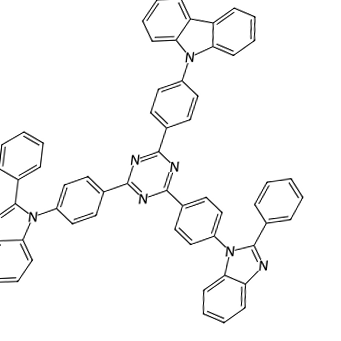 c1ccc(-c2nc3ccccc3n2-c2ccc(-c3nc(-c4ccc(-n5c(-c6ccccc6)nc6ccccc65)cc4)nc(-c4ccc(-n5c6ccccc6c6ccccc65)cc4)n3)cc2)cc1